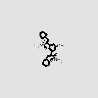 NS(=O)(=O)C(=Cc1ccccc1)c1cc(O)cc(C(=Cc2ccccc2)S(N)(=O)=O)c1